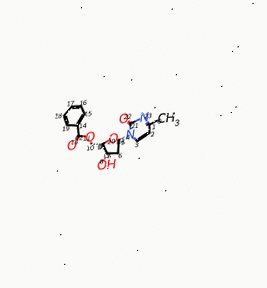 Cc1ccn([C@@H]2C[C@H](O)[C@H](COC(=O)c3ccccc3)O2)c(=O)n1